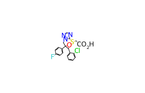 O=C(O)CSc1ncnn1CC1(c2ccc(F)cc2)OC1c1ccccc1Cl